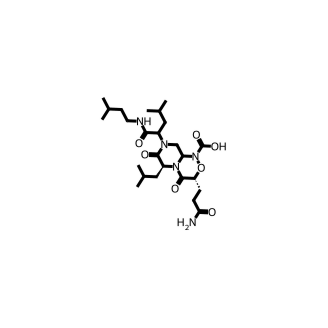 CC(C)CCNC(=O)C(CC(C)C)N1CC2N(C(=O)O)O[C@H](CCC(N)=O)C(=O)N2[C@@H](CC(C)C)C1=O